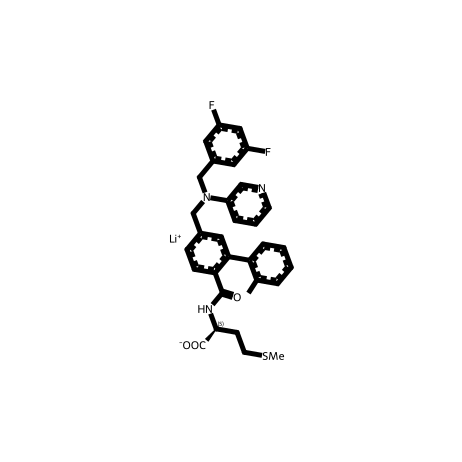 CSCC[C@H](NC(=O)c1ccc(CN(Cc2cc(F)cc(F)c2)c2cccnc2)cc1-c1ccccc1C)C(=O)[O-].[Li+]